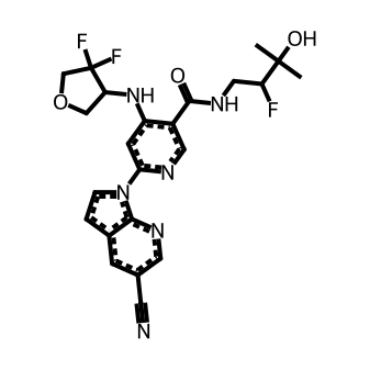 CC(C)(O)C(F)CNC(=O)c1cnc(-n2ccc3cc(C#N)cnc32)cc1NC1COCC1(F)F